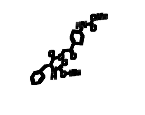 COC(=O)Nc1ccc(C(=O)COC(=O)[C@H](Cc2ccccc2)NC(=O)OC(C)(C)C)cc1